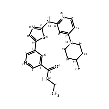 O=C(NCC(F)(F)F)c1cncc(-c2cnc(Nc3cc(N4CCC(F)CC4)ccn3)s2)c1